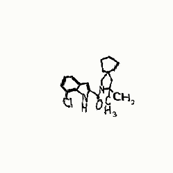 CC1(C)CC2(CCCCC2)CN1C(=O)c1cc2cccc(Cl)c2[nH]1